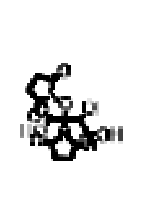 O=C(O)C(O)C(ON1C(=O)CCC1=O)(C(=O)O)N1C(=O)CCC1=O